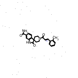 Cc1ccccc1/C=C/C(=O)N1CCC2(CC1)C(=O)Nc1cc(C(N)=O)ccc12